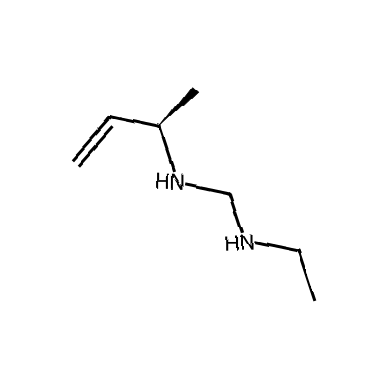 C=C[C@@H](C)NCNCC